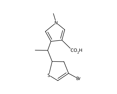 CC(c1cn(C)cc1C(=O)O)C1CC(Br)=CS1